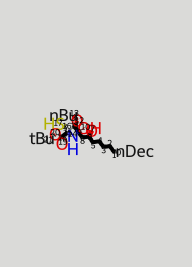 CCCCCCCCCCCCCCCC(=O)C[C@](O)(COCCCC)N[C@@H](CS)C(=O)OC(C)(C)C